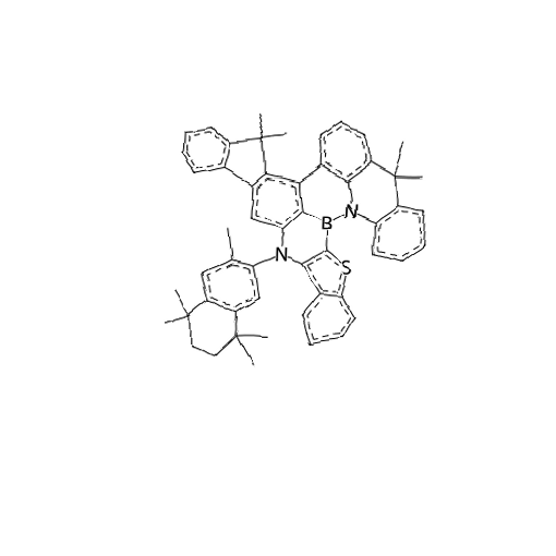 Cc1cc2c(cc1N1c3cc4c(c5c3B(c3sc6ccccc6c31)N1c3ccccc3C(C)(C)c3cccc-5c31)C(C)(C)c1ccccc1-4)C(C)(C)CCC2(C)C